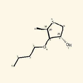 CCCCOC1[C@@H](O)CS[C@@H]1C